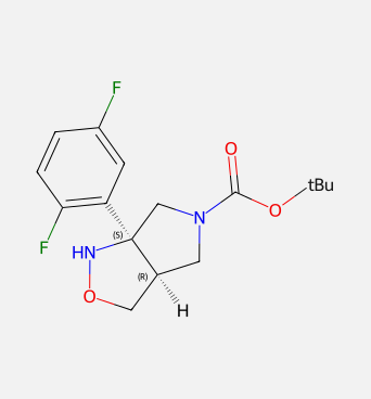 CC(C)(C)OC(=O)N1C[C@H]2CON[C@@]2(c2cc(F)ccc2F)C1